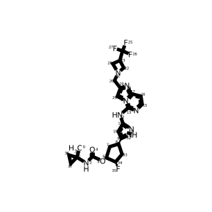 CC1(NC(=O)O[C@H]2C[C@@H](c3cc(Nc4nccc5nc(CN6CC(C(F)(F)F)C6)cn45)n[nH]3)C[C@H]2F)CC1